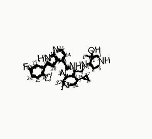 C[C@@]1(O)CNCC[C@H]1NCc1nc(-c2ccnc3[nH]c(-c4cc(F)ccc4Cl)cc23)nc2cncc(C3CC3)c12